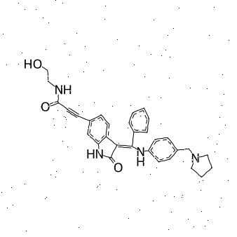 O=C(C#Cc1ccc2c(c1)NC(=O)/C2=C(\Nc1ccc(CN2CCCC2)cc1)c1ccccc1)NCCO